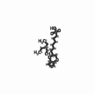 CCN(CC)CC.O=S(=O)(O)CCCCCCC1COc2cscc2O1